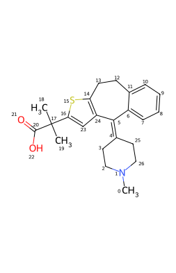 CN1CCC(=C2c3ccccc3CCc3sc(C(C)(C)C(=O)O)cc32)CC1